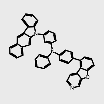 c1ccc(N(c2ccc(-c3cccc4oc5cnccc5c34)cc2)c2cccc(-n3c4ccccc4c4cc5ccccc5cc43)c2)cc1